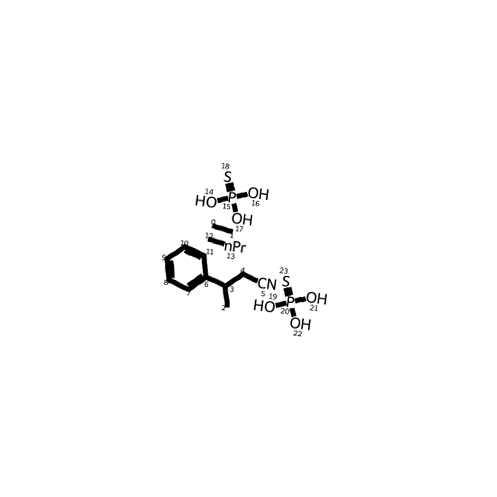 CC.CC(CC#N)c1ccccc1.CCCC.OP(O)(O)=S.OP(O)(O)=S